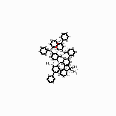 Cc1cc(-c2ccccc2)ccc1N1c2ccc(N(c3ccccc3)c3ccccc3)cc2B2c3c(cc4c(c31)-c1ccccc1C4(C)C)-c1ccccc1N2c1cccc(-c2ccccc2)c1